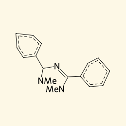 CN/C(=N\C(NC)c1ccccc1)c1ccccc1